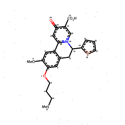 COc1cc2c(cc1OCCCSC)CC(c1cccs1)n1cc(C(=O)O)c(=O)cc1-2